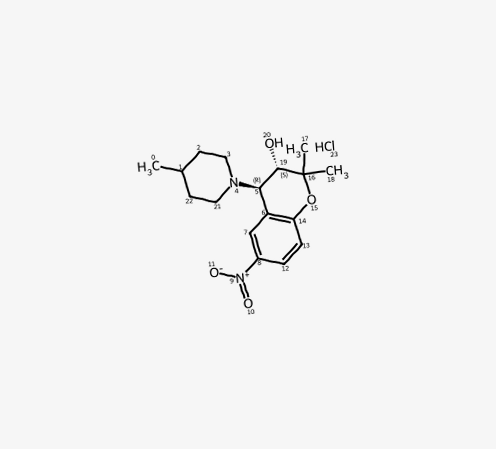 CC1CCN([C@@H]2c3cc([N+](=O)[O-])ccc3OC(C)(C)[C@H]2O)CC1.Cl